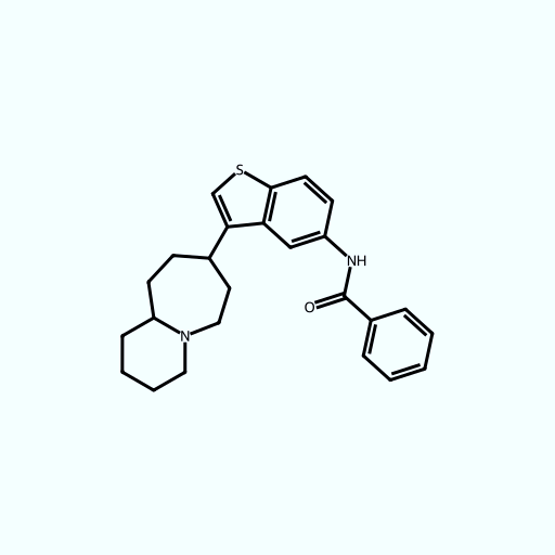 O=C(Nc1ccc2scc(C3CCC4CCCCN4CC3)c2c1)c1ccccc1